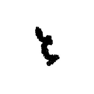 COc1ccc(-c2nc3ccccc3nc2-c2ccc(Oc3ccc(S(=O)(=O)c4ccc(Oc5ccc(/C(=C(/c6ccccc6)c6ccc(Oc7ccc(S(=O)(=O)c8ccc(C)cc8)cc7)cc6)c6ccccc6)cc5)cc4)cc3)cc2)cc1